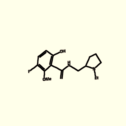 C=C(NCC1CCCN1CC)c1c(O)ccc(F)c1OC